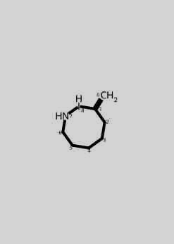 C=C1CCCCCN[IH]1